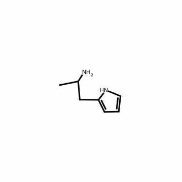 CC(N)Cc1cc[c][nH]1